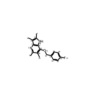 Cc1nc2c(C)c(C)[nH]c2c(OCc2ccc(F)cc2)c1C